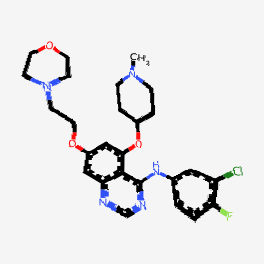 CN1CCC(Oc2cc(OCCN3CCOCC3)cc3ncnc(Nc4ccc(F)c(Cl)c4)c23)CC1